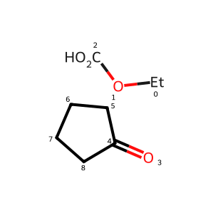 CCOC(=O)O.O=C1CCCC1